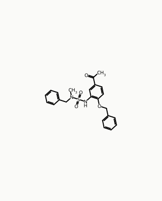 CC(=O)c1ccc(OCc2ccccc2)c(NS(=O)(=O)N(C)Cc2ccccc2)c1